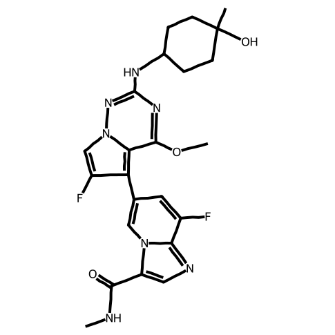 CNC(=O)c1cnc2c(F)cc(-c3c(F)cn4nc(NC5CCC(C)(O)CC5)nc(OC)c34)cn12